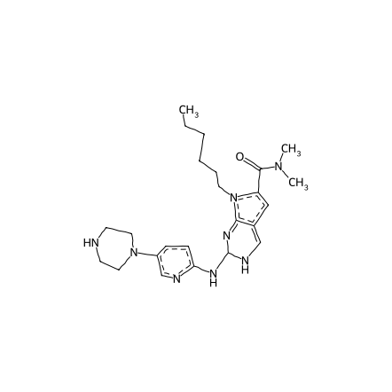 CCCCCCn1c(C(=O)N(C)C)cc2c1=NC(Nc1ccc(N3CCNCC3)cn1)NC=2